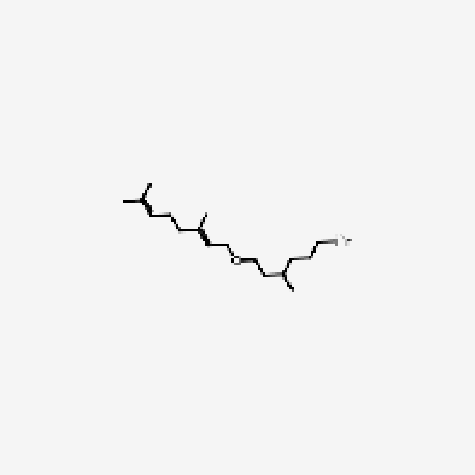 CC(C)=CCC/C(C)=C/COCCC(C)CCCC(C)C